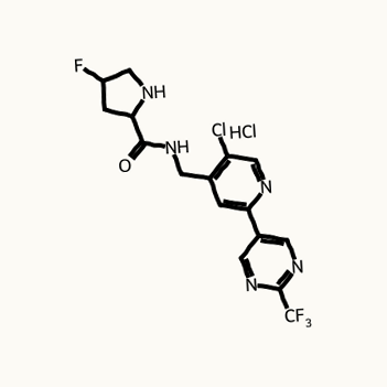 Cl.O=C(NCc1cc(-c2cnc(C(F)(F)F)nc2)ncc1Cl)C1CC(F)CN1